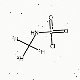 [2H]C([2H])([2H])NS(=O)(=O)Cl